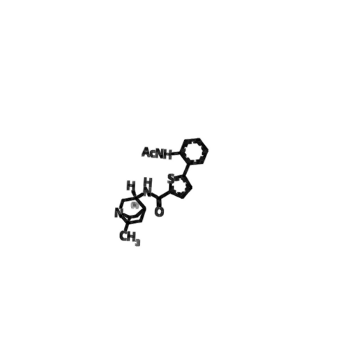 CC(=O)Nc1ccccc1-c1ccc(C(=O)N[C@H]2CN3CCC2CC3C)s1